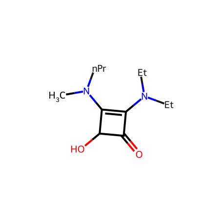 CCCN(C)C1=C(N(CC)CC)C(=O)C1O